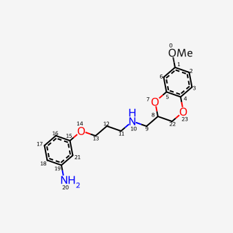 COc1ccc2c(c1)OC(CNCCCOc1cccc(N)c1)CO2